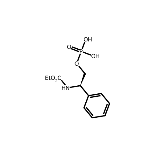 CCOC(=O)N[C@@H](COP(=O)(O)O)c1ccccc1